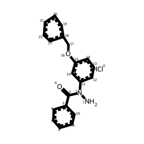 Cl.NN(C(=O)c1ccccc1)c1cccc(OCc2ccccc2)c1